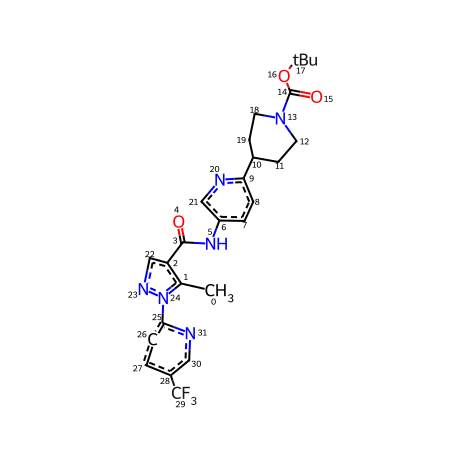 Cc1c(C(=O)Nc2ccc(C3CCN(C(=O)OC(C)(C)C)CC3)nc2)cnn1-c1ccc(C(F)(F)F)cn1